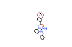 CC1(C)OCc2cc(C(=O)Cn3c(=N)n(Cc4ccccc4)c4ccccc43)ccc2O1